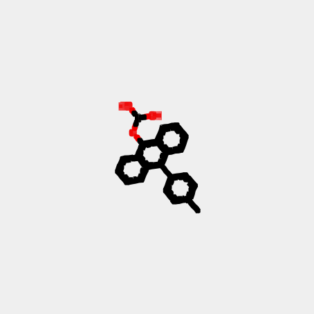 Cc1ccc(-c2c3ccccc3c(OB(O)O)c3ccccc23)cc1